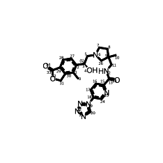 Cc1c([C@H](O)CN2CCC(C)(CNC(=O)c3ccc(-n4cnnn4)cn3)C2)ccc2c1COC2=O